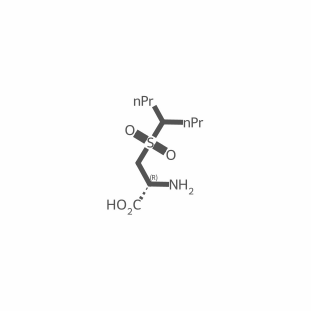 CCCC(CCC)S(=O)(=O)C[C@H](N)C(=O)O